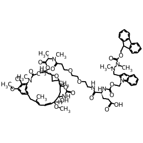 COc1cc2cc(c1Cl)N(C)C(=O)C[C@H](OC(=O)[C@H](C)N(C)C(=O)CCOCCOCCNC(=O)[C@H](CCC(=O)O)NC(=O)OCn1c(CN(C)N(C)C(=O)OCC3c4ccccc4-c4ccccc43)cc3ccccc31)[C@@]1(C)CC(C)(O1)[C@@H]1C[C@@](O)(NC(=O)O1)[C@H](OC)/C=C/C=C(\C)C2